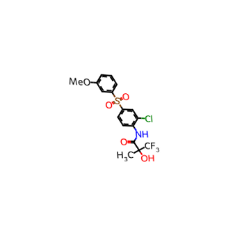 COc1cccc(S(=O)(=O)c2ccc(NC(=O)C(C)(O)C(F)(F)F)c(Cl)c2)c1